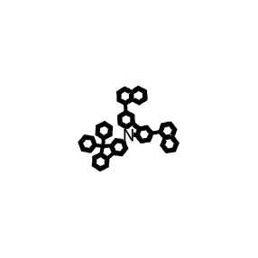 c1ccc(C2(c3ccccc3)c3ccccc3-c3ccc(-n4c5ccc(-c6cccc7ccccc67)cc5c5cc(-c6cccc7ccccc67)ccc54)cc32)cc1